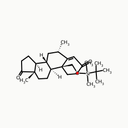 C[C@H]1C[C@@H]2[C@H](CC[C@]3(C)C(=O)CC[C@@H]23)[C@@]2(CO[Si](C)(C)C(C)(C)C)CCC(=O)C=C12